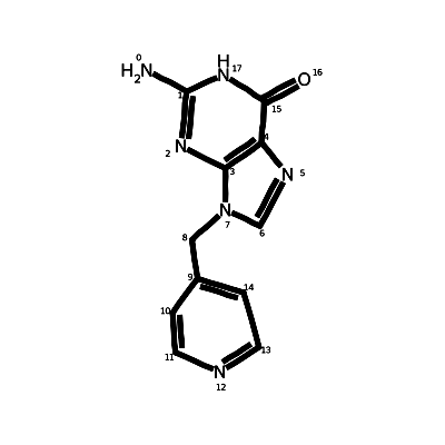 Nc1nc2c(ncn2Cc2ccncc2)c(=O)[nH]1